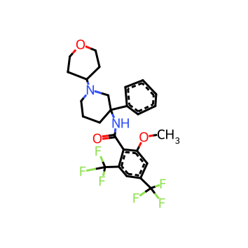 COc1cc(C(F)(F)F)cc(C(F)(F)F)c1C(=O)NC1(c2ccccc2)CCCN(C2CCOCC2)C1